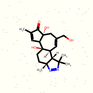 CC1=CC2[C@](O)(CC(CO)=C[C@H]3[C@@H]4C(C)(C)N=N[C@]4(C)CC[C@]23O)C1=O